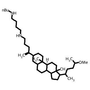 C=C(CCCNCCCCNCCCC)C1CCC2(C)C(CCC3C4CCC(C(C)CCC(C)OC)C4(C)CC[C@@H]32)C1